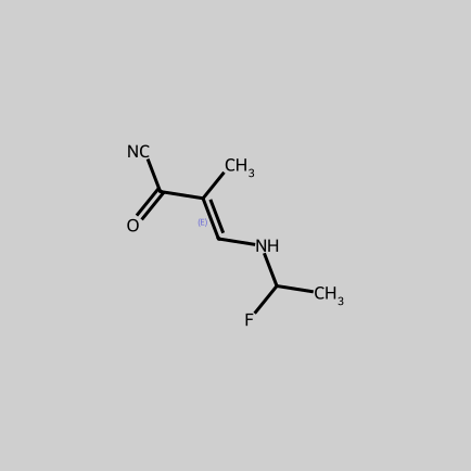 C/C(=C\NC(C)F)C(=O)C#N